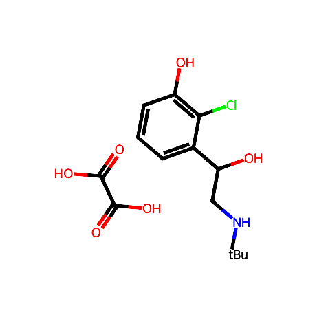 CC(C)(C)NCC(O)c1cccc(O)c1Cl.O=C(O)C(=O)O